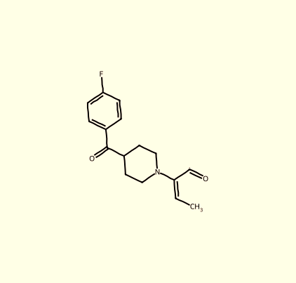 CC=C([C]=O)N1CCC(C(=O)c2ccc(F)cc2)CC1